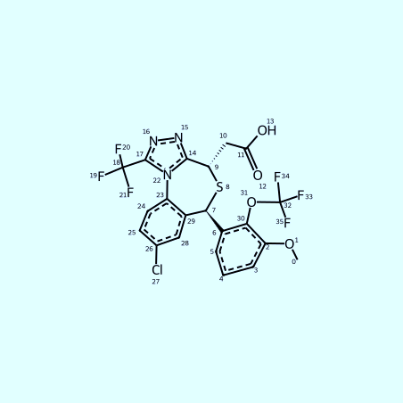 COc1cccc([C@@H]2S[C@@H](CC(=O)O)c3nnc(C(F)(F)F)n3-c3ccc(Cl)cc32)c1OC(F)(F)F